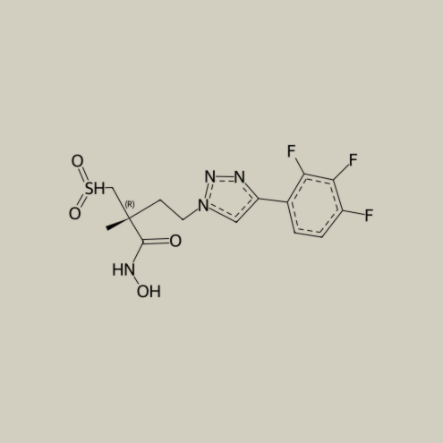 C[C@](CCn1cc(-c2ccc(F)c(F)c2F)nn1)(C[SH](=O)=O)C(=O)NO